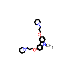 Cn1c2ccc(OCCCN3CCCCC3)cc2c2cc(OCCCN3CCCCC3)ccc21